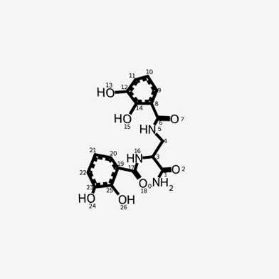 NC(=O)C(CNC(=O)c1cccc(O)c1O)NC(=O)c1cccc(O)c1O